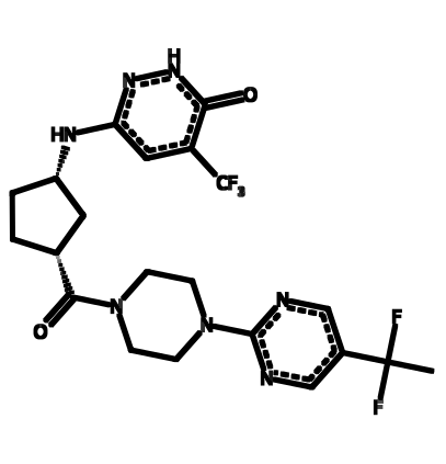 CC(F)(F)c1cnc(N2CCN(C(=O)[C@@H]3CC[C@H](Nc4cc(C(F)(F)F)c(=O)[nH]n4)C3)CC2)nc1